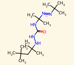 CC(C)(C)CC(C)(C)NNC(=O)NC(C)(C)/N=N/C(C)(C)C